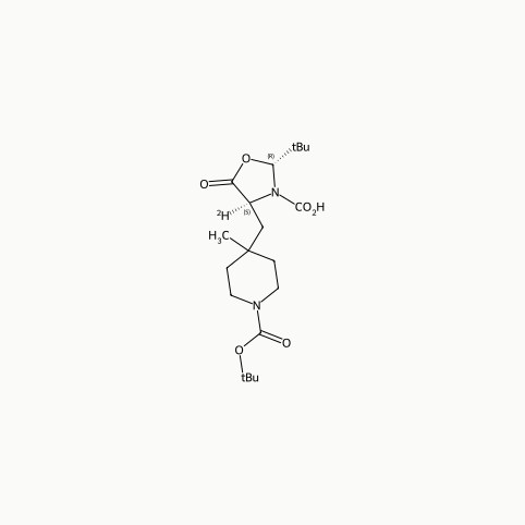 [2H][C@]1(CC2(C)CCN(C(=O)OC(C)(C)C)CC2)C(=O)O[C@H](C(C)(C)C)N1C(=O)O